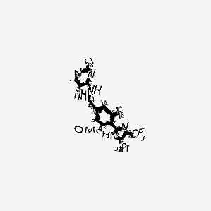 COc1cc(CNc2nc(Cl)ncc2N)cc(F)c1-c1nc(C(F)(F)F)c(C(C)C)[nH]1